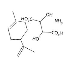 C=C(C)C1CC=C(C)CC1.N.O=C(O)C(O)C(O)C(=O)O